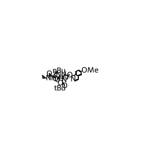 CCCC[C@H](NC(=O)[C@@H]1CC(Oc2nccc3cc(OC)ccc23)CN1C(=O)OC(C)(C)C)C(O)C(=O)NC1CC1